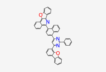 c1ccc(-c2nc(-c3ccc(-c4nc5c6ccccc6oc5c5ccccc45)c4ccccc34)cc(-c3cccc4c3oc3ccccc34)n2)cc1